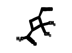 CC(=O)[C@H]1C[C@@H](C=O)C1(C)C